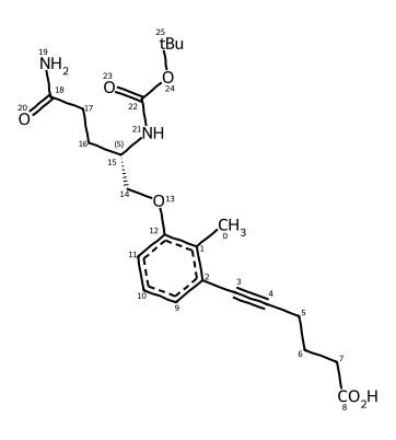 Cc1c(C#CCCCC(=O)O)cccc1OC[C@H](CCC(N)=O)NC(=O)OC(C)(C)C